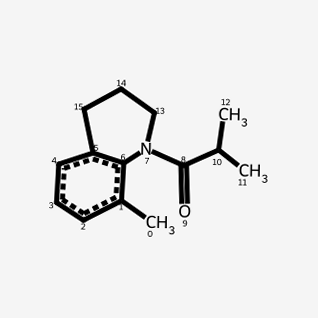 Cc1cccc2c1N(C(=O)C(C)C)CCC2